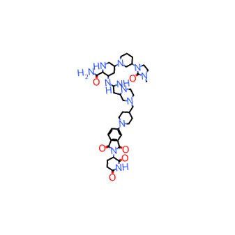 CN1CCN([C@@H]2CCCN(C3CNC(C(N)=O)C(NC4CC5CN(CC6CCN(c7ccc8c(c7)C(=O)N([C@@H]7CCC(=O)NC7=O)C8=O)CC6)CCN5N4)C3)C2)C1=O